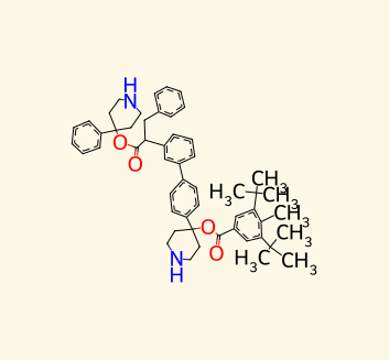 Cc1c(C(C)(C)C)cc(C(=O)OC2(c3ccc(-c4cccc(C(Cc5ccccc5)C(=O)OC5(c6ccccc6)CCNCC5)c4)cc3)CCNCC2)cc1C(C)(C)C